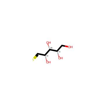 OC[C@H](O)[C@@H](O)[C@H](O)C=S